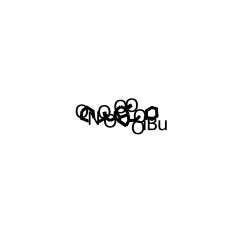 CCC(C)C1(OC(=O)C2C3CC4C(OC(=O)C42)C3OC(=O)CN2CCOCC2)CCCCC1